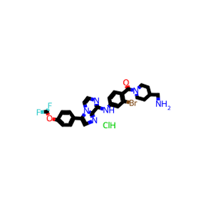 Cl.NCC1CCN(C(=O)c2ccc(Nc3nccn4c(-c5ccc(OC(F)F)cc5)cnc34)cc2Br)CC1